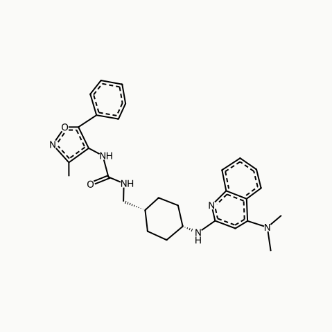 Cc1noc(-c2ccccc2)c1NC(=O)NC[C@H]1CC[C@@H](Nc2cc(N(C)C)c3ccccc3n2)CC1